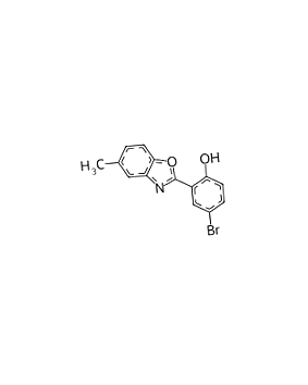 Cc1ccc2oc(-c3cc(Br)ccc3O)nc2c1